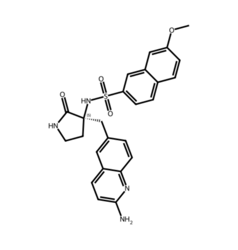 COc1ccc2ccc(S(=O)(=O)N[C@@]3(Cc4ccc5nc(N)ccc5c4)CCNC3=O)cc2c1